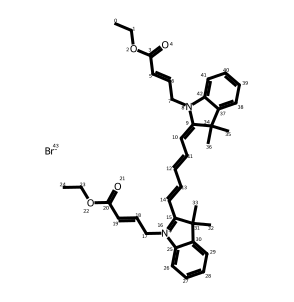 CCOC(=O)/C=C/CN1/C(=C/C=C/C=C/C2=[N+](C/C=C/C(=O)OCC)c3ccccc3C2(C)C)C(C)(C)c2ccccc21.[Br-]